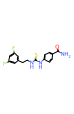 NC(=O)c1ccc(NC(=S)NCCc2cc(F)cc(F)c2)cc1